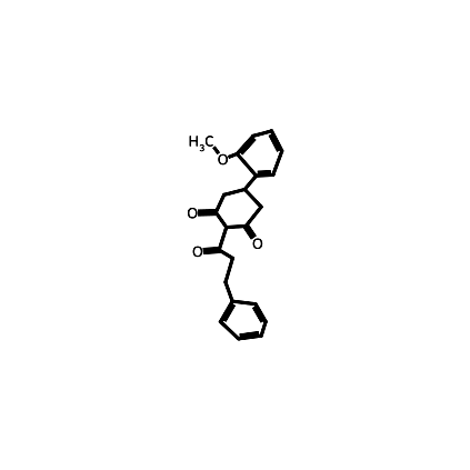 COc1ccccc1C1CC(=O)C(C(=O)CCc2ccccc2)C(=O)C1